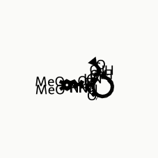 COc1cc2cc(C(=O)N[C@@H]3C[C@H]4C(=O)N[C@]5(C(=O)NS(=O)(=O)C6CC6)C[C@H]5/C=C\CCCCC[C@H](C)C(=O)N4C3)[nH]c2cc1OC